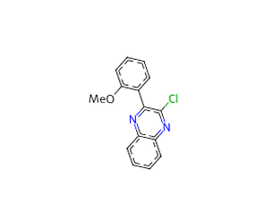 COc1ccccc1-c1nc2ccccc2nc1Cl